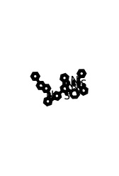 C1=CCc2c(sc3c(-c4ccc5c6ccccc6n(-c6ccc7cc(-c8ccccc8)ccc7c6)c5c4)cc4c5ccccc5n(-c5nc(-c6ccccc6)c6sc7ccccc7c6n5)c4c23)C=C1